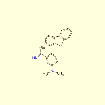 CN(C)c1ccc(-c2cccc3c2Cc2ccccc2-3)c(C(=N)C(C)(C)C)c1